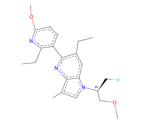 CCc1cc2c(nc1-c1ccc(OC)nc1CC)c(C)cn2[C@@H](CF)COC